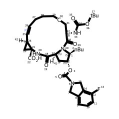 CCCC[C@H]1[C@H](OC(=O)N2Cc3cccc(F)c3C2)C[C@H]2C(=O)N[C@]3(C(=O)O)C[C@H]3/C=C\CCCCC[C@H](NC(=O)OC(C)(C)C)C(=O)N21